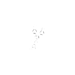 CCCc1cccc(-c2cc(NC(=O)[C@@H]3CNC(=O)C3)nn2-c2ccc(OC(C)C)cc2)c1